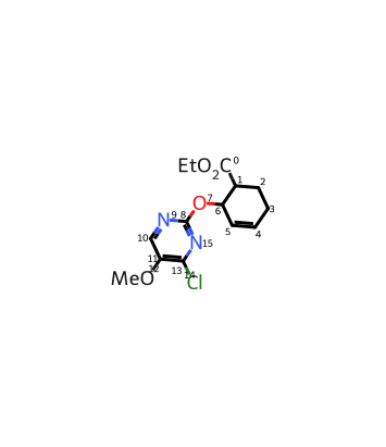 CCOC(=O)C1CCC=CC1Oc1ncc(OC)c(Cl)n1